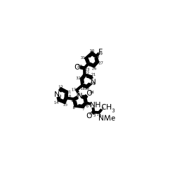 CN[C@@H](C)C(=O)Nc1ccc(-c2ccncc2)n(Cc2cncc(C(=O)c3ccc(F)cc3)c2)c1=O